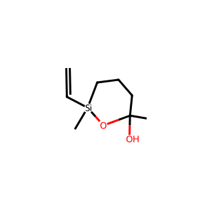 C=C[Si]1(C)CCCC(C)(O)O1